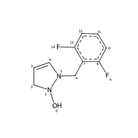 ON1CC=CN1Cc1c(F)cccc1F